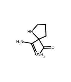 NC(=O)C1(C(N)=O)CCCN1